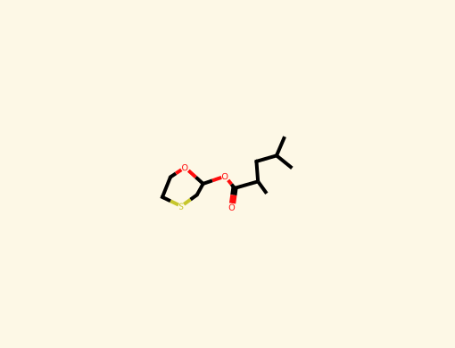 CC(C)CC(C)C(=O)OC1CSCCO1